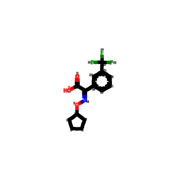 O=C(O)C(=NOC1CCCC1)c1cccc(C(F)(F)F)c1